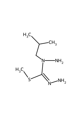 CS/C(=N/N)N(N)CC(C)C